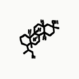 C[C@H](CBr)[C@H]1CCC[C@H]2[C@@H]3CC[C@@H]4C[C@](C)(O)CC[C@@H]4[C@H]3CC[C@]12C